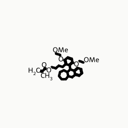 C=C(C)C(=O)OCCCCc1c(OCCOC)ccc(OCCOC)c1C1c2ccccc2CC2CCCCCC21